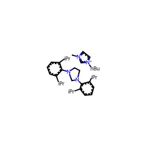 CC(C)c1cccc(C(C)C)c1N1CCN(c2c(C(C)C)cccc2C(C)C)C1.CCCC[n+]1ccn(C)c1